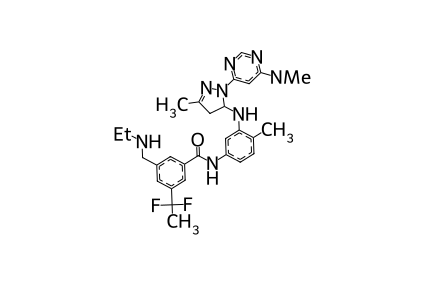 CCNCc1cc(C(=O)Nc2ccc(C)c(NC3CC(C)=NN3c3cc(NC)ncn3)c2)cc(C(C)(F)F)c1